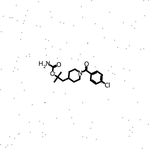 CC(C)(CC1CCN(C(=O)c2ccc(Cl)cc2)CC1)OC(N)=O